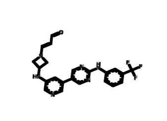 O=CC=CN1CC(Nc2cncc(-c3cnc(Nc4cccc(C(F)(F)F)c4)nc3)c2)C1